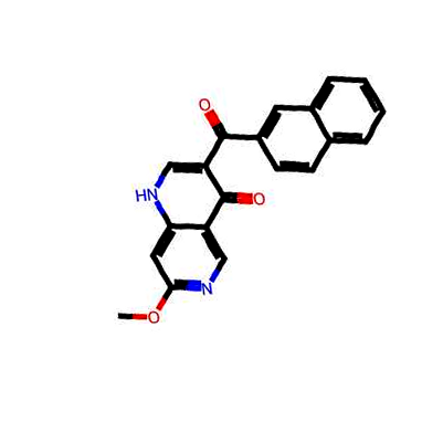 COc1cc2[nH]cc(C(=O)c3ccc4ccccc4c3)c(=O)c2cn1